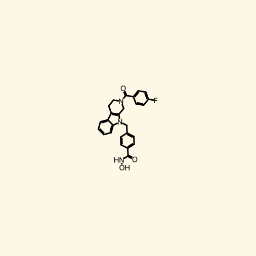 O=C(NO)c1ccc(Cn2c3c(c4ccccc42)CCN(C(=O)c2ccc(F)cc2)C3)cc1